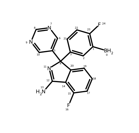 Bc1cc(C2(c3cncnc3)N=C(N)c3c(F)cccc32)ccc1F